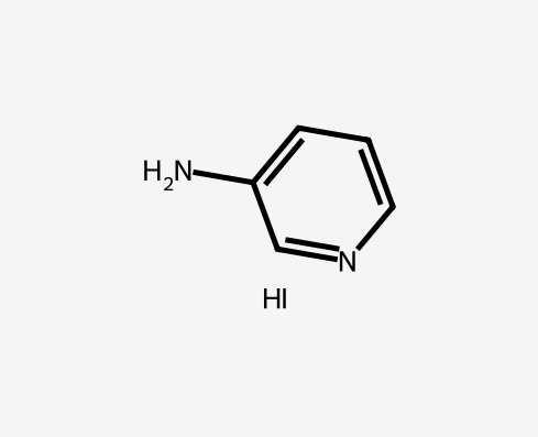 I.Nc1cccnc1